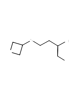 CCC(C)CCNC1COC1